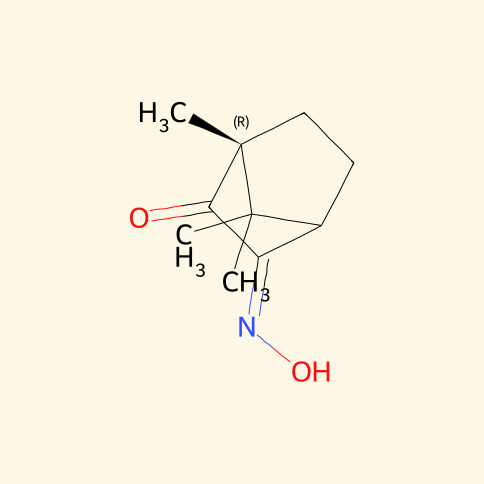 CC1(C)C2CC[C@@]1(C)C(=O)C2=NO